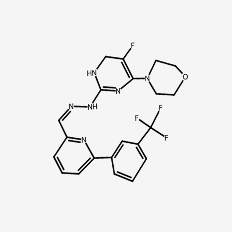 FC1=C(N2CCOCC2)N=C(N/N=C\c2cccc(-c3cccc(C(F)(F)F)c3)n2)NC1